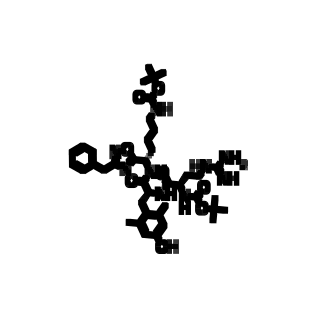 Cc1cc(O)cc(C)c1C[C@H](NC(=O)[C@@H](CCNC(=N)N)NC(=O)OC(C)(C)C)C(=O)N[C@@H](CCCCNC(=O)OC(C)(C)C)c1nc(Cc2ccccc2)no1